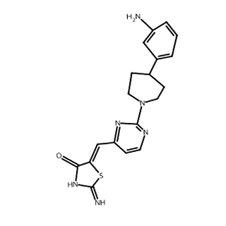 N=C1NC(=O)/C(=C/c2ccnc(N3CCC(c4cccc(N)c4)CC3)n2)S1